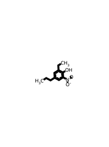 CCCc1cc(CC)c(O)c([N+](=O)[O-])c1